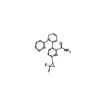 NC(=O)c1nc(C2CC2(F)F)ccc1C1=CC=CCN1c1ccccn1